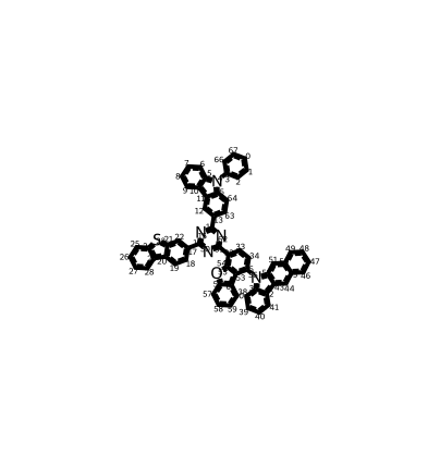 c1ccc(-n2c3ccccc3c3cc(-c4nc(-c5ccc6c(c5)sc5ccccc56)nc(-c5ccc(-n6c7ccccc7c7cc8ccccc8cc76)c6c5oc5ccccc56)n4)ccc32)cc1